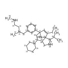 CCC1=CC2(c3cccc(CN(C)CCNC)c3)CC(N3CCCCC3)C3CNN(C(C)C)C13N2